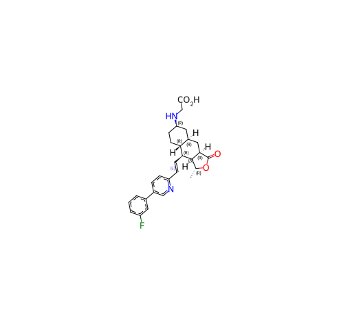 C[C@H]1OC(=O)[C@@H]2C[C@@H]3C[C@H](NCC(=O)O)CC[C@H]3[C@H](/C=C/c3ccc(-c4cccc(F)c4)cn3)[C@H]12